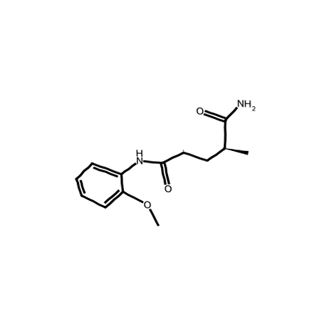 COc1ccccc1NC(=O)[CH]C[C@H](C)C(N)=O